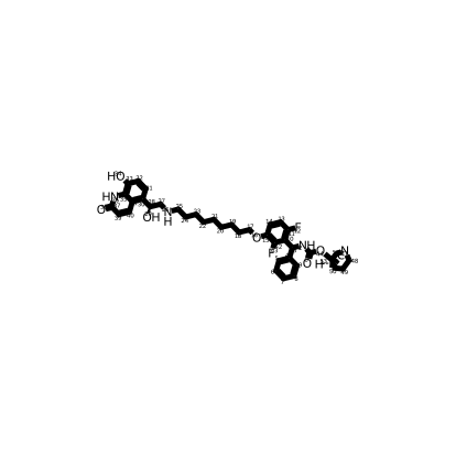 O=C(NC(c1ccccc1)c1c(F)ccc(OCCCCCCCCCNC[C@@H](O)c2ccc(O)c3[nH]c(=O)ccc23)c1F)O[C@H]1CN2CCC1CC2